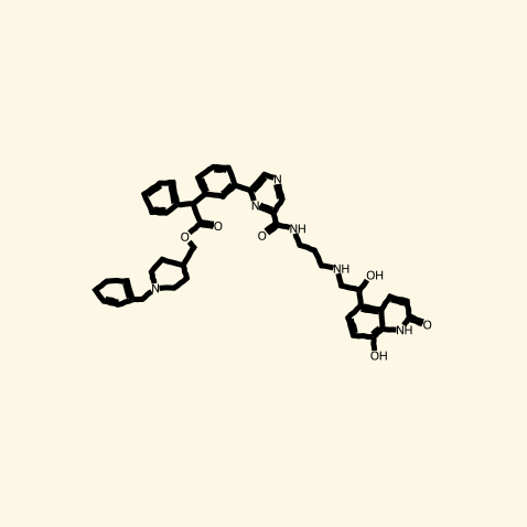 O=C(NCCCNCC(O)c1ccc(O)c2[nH]c(=O)ccc12)c1cncc(-c2cccc(C(C(=O)OCC3CCN(CC4=CCCC=C4)CC3)c3ccccc3)c2)n1